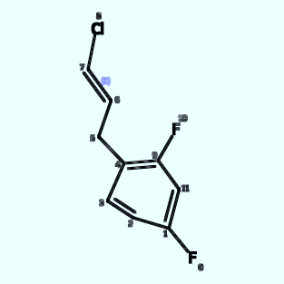 Fc1ccc(C/C=C/Cl)c(F)c1